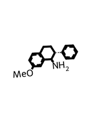 COc1ccc2c(c1)[C](N)[C@@H](c1ccccc1)CC2